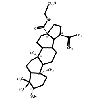 C=C(C)[C@@H]1CC[C@]2(C(=O)NCC(=O)O)CCC3C(CCC4[C@@]3(C)CCC3C(C)(C)[C@@H](OC)CC[C@@]34C)C12